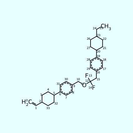 C=CC1CCC(c2ccc(COC(F)(F)Cc3ccc(C4CCC(CC)CC4)cc3)cc2)CC1